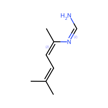 CC(C)=C/C=C(C)\N=C/N